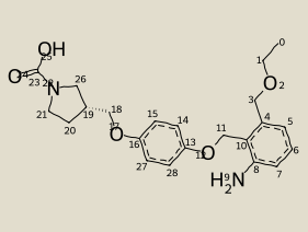 CCOCc1cccc(N)c1COc1ccc(OC[C@@H]2CCN(C(=O)O)C2)cc1